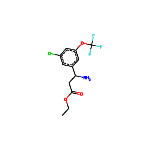 CCOC(=O)CC(N)c1cc(Cl)cc(OC(F)(F)F)c1